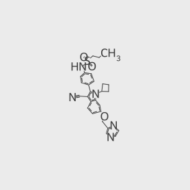 CCCS(=O)(=O)Nc1ccc(-c2c(C#N)c3ccc(OCc4cnccn4)cc3n2C2CCC2)cc1